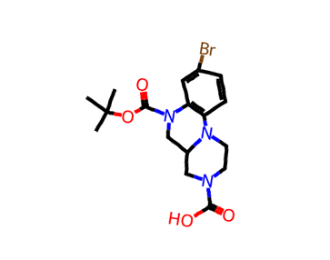 CC(C)(C)OC(=O)N1CC2CN(C(=O)O)CCN2c2ccc(Br)cc21